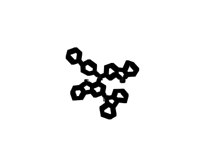 C1=CC(N(c2ccc3c(c2)oc2ccccc23)c2cc(-n3c4ccccc4c4ccccc43)cc3c2sc2ccccc23)CC=C1c1ccccc1